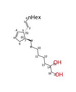 CCCCCCC=C[C@H]1C=CC[C@@H]1CCCCCCC(O)CO